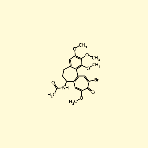 COc1cc2c(c(OC)c1OC)-c1cc(Br)c(=O)c(OC)cc1[C@@H](NC(C)=O)CC2